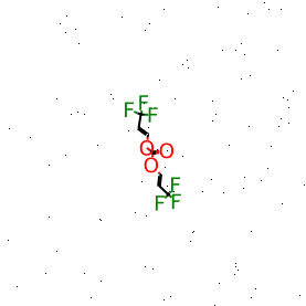 O=C(OC=CC(F)(F)F)OC=CC(F)(F)F